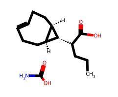 CCCC(C(=O)O)[C@H]1[C@@H]2CC/C=C/CC[C@@H]21.NC(=O)O